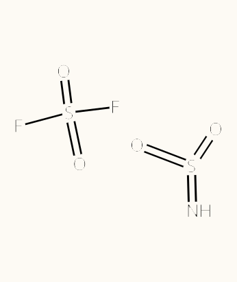 N=S(=O)=O.O=S(=O)(F)F